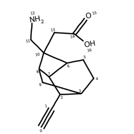 C#CC1C2CCC3C1C(C2)C3(CN)CC(=O)O